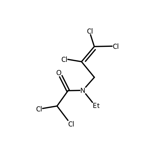 CCN(CC(Cl)=C(Cl)Cl)C(=O)C(Cl)Cl